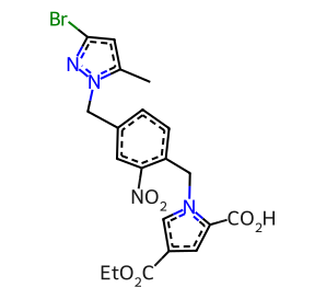 CCOC(=O)c1cc(C(=O)O)n(Cc2ccc(Cn3nc(Br)cc3C)cc2[N+](=O)[O-])c1